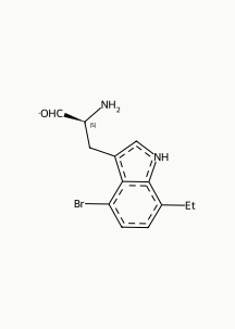 CCc1ccc(Br)c2c(C[C@H](N)[C]=O)c[nH]c12